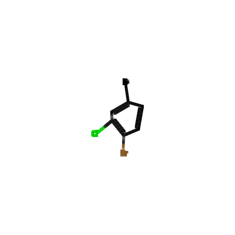 [B]c1ccc(Br)c(Cl)c1